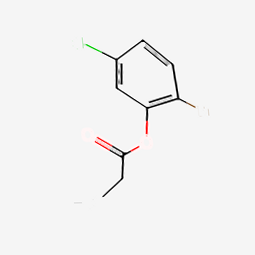 CCC(=O)Oc1cc(Cl)ccc1Br